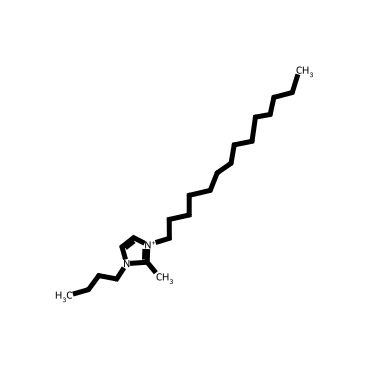 CCCCCCCCCCCCCC[n+]1ccn(CCCC)c1C